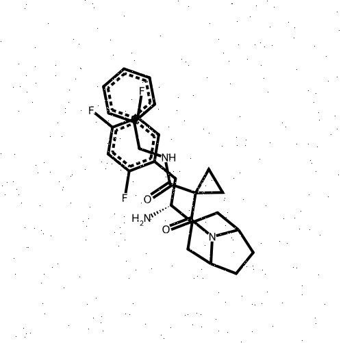 N[C@H](Cc1cc(F)c(F)cc1F)C1CC2CCC(C1)N2C(=O)C1(C(=O)NCc2ccccc2)CC1